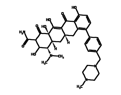 CN1CCN(Cc2ccc(-c3ccc(O)c4c3C[C@H]3C[C@H]5[C@H](N(C)C)C(O)C(C(N)=O)C(=O)[C@@]5(O)C(O)=C3C4=O)cc2)CC1